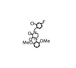 COc1cccc(OC)c1N1CCN(Cc2ccc(F)cc2Cl)C(=O)C1=O